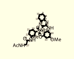 COc1cc(Nc2nc3ccccc3nc2NS(=O)(=O)c2cccc(NC(=O)CNC(C)=O)c2)cc(OC)c1